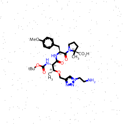 COc1ccc(C[C@H](NC(=O)[C@@H](NC(=O)OC(C)(C)C)[C@@H](C)OCc2cn(CCN)nn2)C(=O)N2CCC[C@@]2(C)C(=O)O)cc1